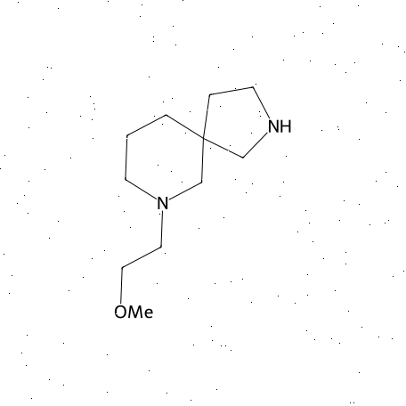 COCCN1CCCC2(CCNC2)C1